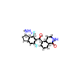 N[C@H]1CCc2cc(F)c(C(=O)c3cccc4c(=O)[nH]ccc34)c(F)c21